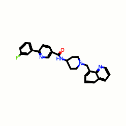 O=C(NC1CCN(Cc2cccc3cccnc23)CC1)c1ccc(-c2cccc(F)c2)nc1